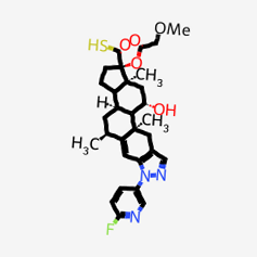 COCC(=O)O[C@]1(C(=O)S)CCC2[C@@H]3C[C@H](C)C4=Cc5c(cnn5-c5ccc(F)nc5)C[C@]4(C)C3[C@@H](O)C[C@@]21C